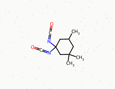 CC1CC(C)(C)CC(N=C=O)(N=C=O)C1